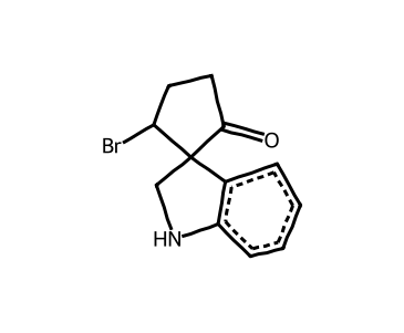 O=C1CCC(Br)C12CNc1ccccc12